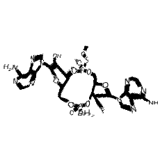 BP1(=O)OCC2OC(n3cnc4c(N)ncnc43)C(O)C2OP(=O)(SOC)OCC2OC(n3cnc4c(N)ncnc43)C(F)C2O1